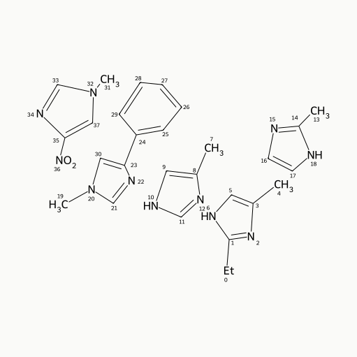 CCc1nc(C)c[nH]1.Cc1c[nH]cn1.Cc1ncc[nH]1.Cn1cnc(-c2ccccc2)c1.Cn1cnc([N+](=O)[O-])c1